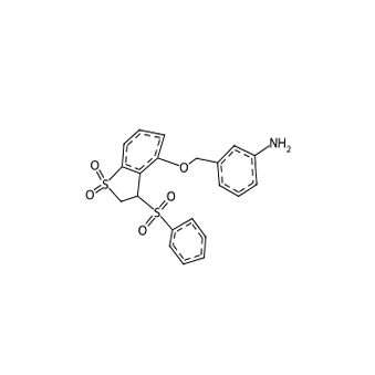 Nc1cccc(COc2cccc3c2C(S(=O)(=O)c2ccccc2)CS3(=O)=O)c1